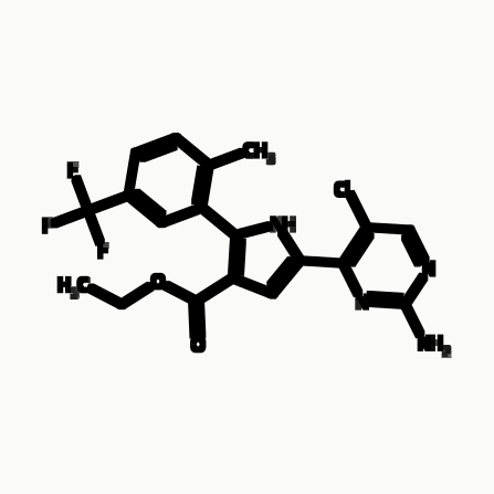 CCOC(=O)c1cc(-c2nc(N)ncc2Cl)[nH]c1-c1cc(C(F)(F)F)ccc1C